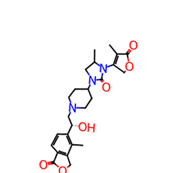 CC1=C(N2C(=O)N(C3CCN(C[C@H](O)c4ccc5c(c4C)COC5=O)CC3)CC2C)COC1=O